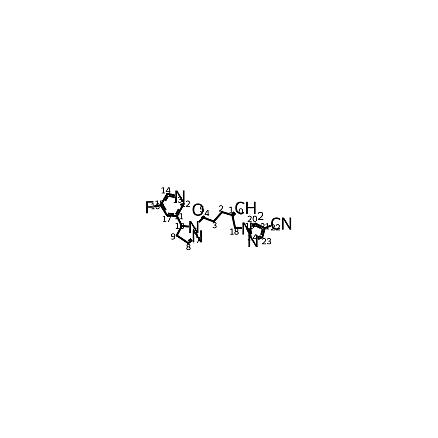 C=C(CCC(=O)N1N=CCC1c1cncc(F)c1)Cn1cc(C#N)cn1